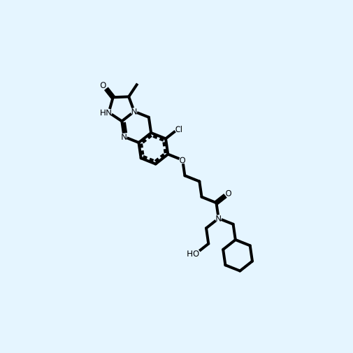 CC1C(=O)NC2=Nc3ccc(OCCCC(=O)N(CCO)CC4CCCCC4)c(Cl)c3CN21